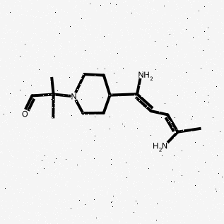 C/C(N)=C/C=C(\N)C1CCN(C(C)(C)C=O)CC1